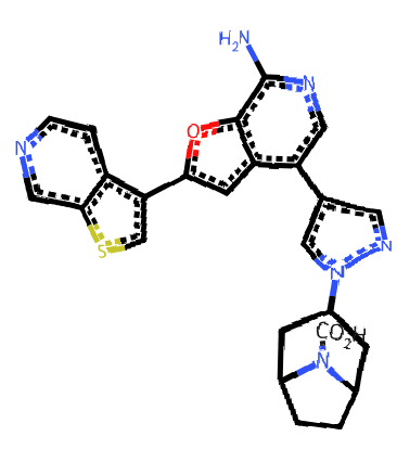 Nc1ncc(-c2cnn(C3CC4CCC(C3)N4C(=O)O)c2)c2cc(-c3csc4cnccc34)oc12